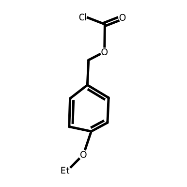 CCOc1ccc(COC(=O)Cl)cc1